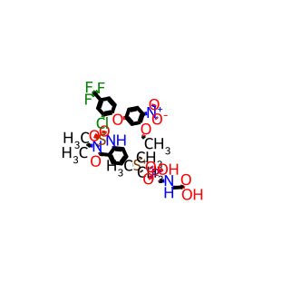 CC(C)N1C(=O)c2ccccc2NS1(=O)=O.CCOc1cc(Oc2ccc(C(F)(F)F)cc2Cl)ccc1[N+](=O)[O-].C[S+](C)C.O=C(O)CNCP(=O)([O-])O